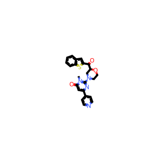 Cn1c(N2CCOC(C(=O)c3cc4ccccc4s3)C2)nc(-c2ccncc2)cc1=O